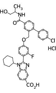 CC(CO)NC(=O)c1ccc(-c2ccc(Cl)cc2)c(COc2ccc(-c3nc4cc(C(=O)O)ccc4n3C3CCCCC3)c(F)c2)c1.Cl